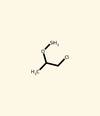 CC(CCl)O[SiH3]